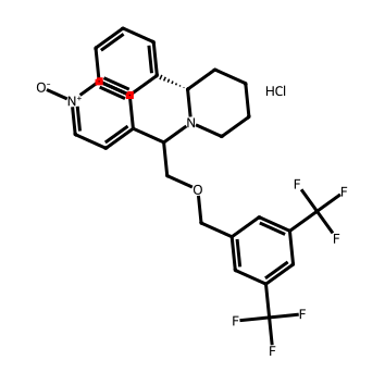 Cl.[O-][n+]1ccc(C(COCc2cc(C(F)(F)F)cc(C(F)(F)F)c2)N2CCCC[C@H]2c2ccccc2)cc1